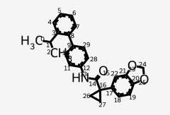 CC(C)c1ccccc1-c1ccc(NC(=O)C2(c3ccc4c(c3)OCO4)CC2)cc1